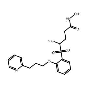 CCCCC(CCC(=O)NO)S(=O)(=O)c1ccccc1OCCCc1ccccn1